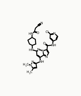 Cc1cc(Nc2cc(NC3CCC(NC(=O)CC#N)CC3)nn3c(C(=O)Nc4ccnc(Cl)c4)cnc23)nn1C